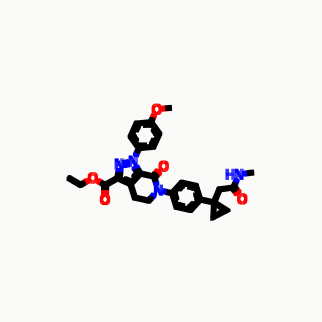 CCOC(=O)c1nn(-c2ccc(OC)cc2)c2c1CCN(c1ccc(C3(CC(=O)NC)CC3)cc1)C2=O